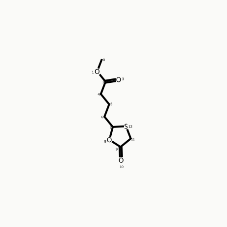 COC(=O)CCCC1OC(=O)CS1